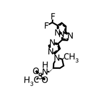 C[C@@H]1CC[C@H](CNS(C)(=O)=O)CN1c1cc(-c2cnc3ccc(C(F)F)nn23)ncn1